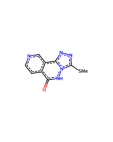 CSc1nnc2c3cnccc3c(=O)[nH]n12